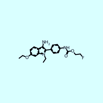 CCOc1ccc2c(N)c(-c3ccc(NC(=O)OCCF)cc3)n(CC)c2c1